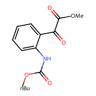 CCCCOC(=O)Nc1ccccc1C(=O)C(=O)OC